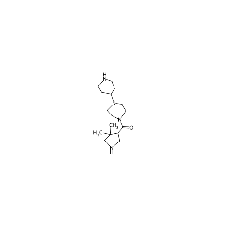 CC1(C)CNCC1C(=O)N1CCN(C2CCNCC2)CC1